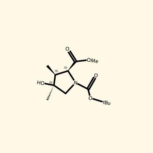 COC(=O)[C@@H]1[C@H](C)[C@](C)(O)CN1C(=O)OC(C)(C)C